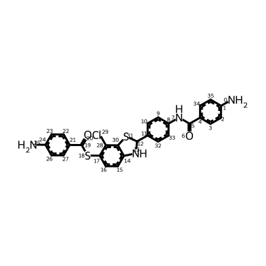 Nc1ccc(C(=O)Nc2ccc(C3Nc4ccc(SC(=O)c5ccc(N)cc5)c(Cl)c4S3)cc2)cc1